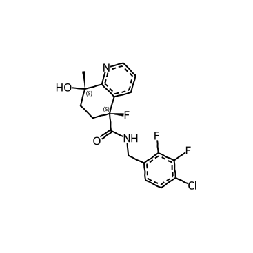 C[C@]1(O)CC[C@@](F)(C(=O)NCc2ccc(Cl)c(F)c2F)c2cccnc21